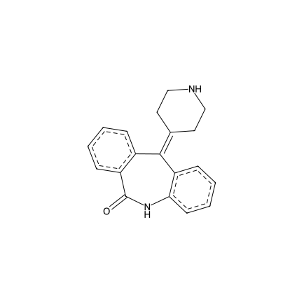 O=C1Nc2ccccc2C(=C2CCNCC2)c2ccccc21